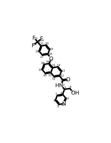 O=C(NC(CO)c1cccnc1)c1ccc2c(Oc3ccc(C(F)(F)F)cc3)cccc2c1